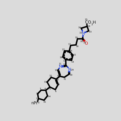 CCCC1CCC(C2CC=C(C3=CN=C(c4ccc(CCCC(=O)N5CC(C(=O)O)C5)cc4)N=CC3)CC2)CC1